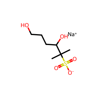 CC(C)(C(O)CCCO)S(=O)(=O)[O-].[Na+]